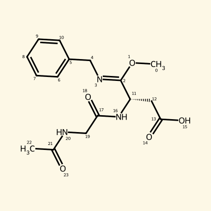 COC(=NCc1ccccc1)[C@H](CC(=O)O)NC(=O)CNC(C)=O